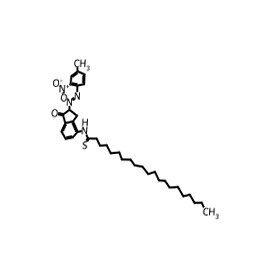 CCCCCCCCCCCCCCCCCCCCC(=S)Nc1cccc2c1CC(N=Nc1ccc(C)cc1[N+](=O)[O-])C2=O